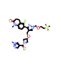 CN1C(=O)CCc2c1ccc(-c1nn(COCCS(C)(C)C)cc1COC1CN(C(=O)c3cnn(C)c3)C1)c2F